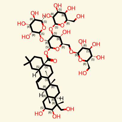 C[C@@H]1O[C@@H](O[C@H]2[C@H](OC(=O)[C@]34CCC(C)(C)C[C@H]3C3=CC[C@@H]5[C@@]6(C)C[C@H](O)[C@H](O)[C@@](C)(CO)[C@@H]6CC[C@@]5(C)[C@]3(C)CC4)O[C@H](CO[C@@H]3O[C@H](CO)[C@@H](O)[C@H](O)[C@H]3O)[C@@H](O)[C@@H]2O[C@@H]2O[C@H](CO)[C@H](O)[C@H](O)[C@H]2O)[C@H](O)[C@H](O)[C@H]1O